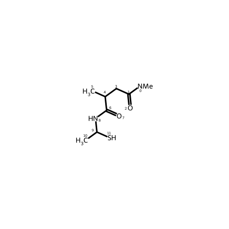 CNC(=O)CC(C)C(=O)NC(C)S